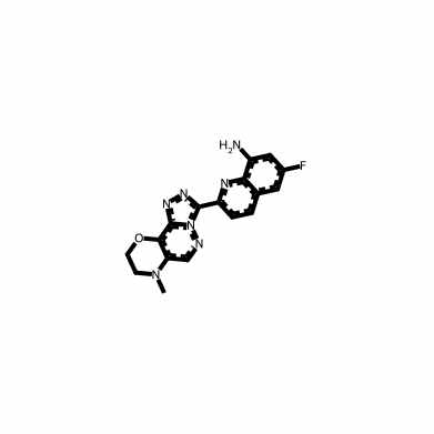 CN1CCOc2c1cnn1c(-c3ccc4cc(F)cc(N)c4n3)nnc21